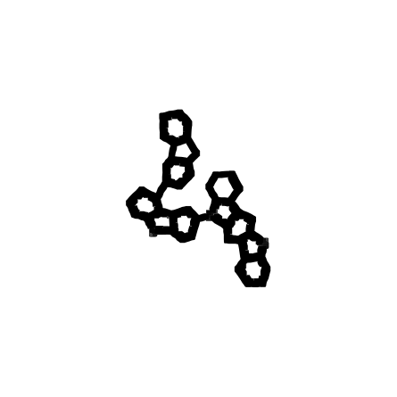 C1=Cc2c(n(-c3ccc4sc5cccc(-c6ccc7c(c6)-c6ccccc6C7)c5c4c3)c3cc4c(cc23)sc2ccccc24)CC1